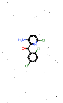 Nc1ccc(Cl)nc1C(=O)c1cc(Cl)ccc1Cl